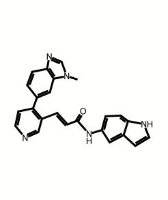 Cn1cnc2ccc(-c3ccncc3/C=C/C(=O)Nc3ccc4[nH]ccc4c3)cc21